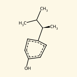 CC(C)[C@@H](C)c1ccc(O)cc1